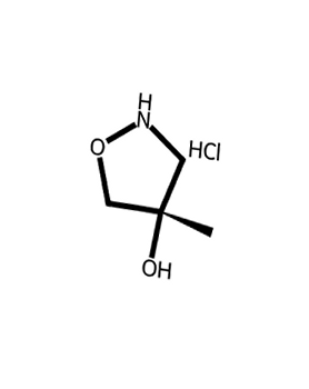 C[C@]1(O)CNOC1.Cl